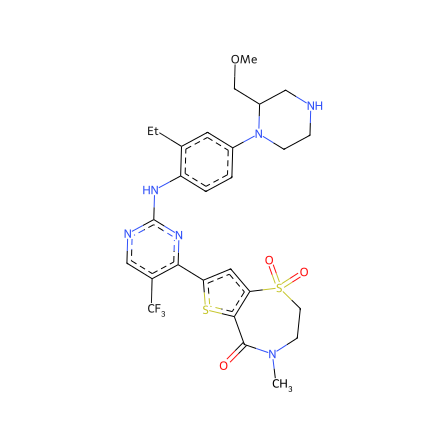 CCc1cc(N2CCNCC2COC)ccc1Nc1ncc(C(F)(F)F)c(-c2cc3c(s2)C(=O)N(C)CCS3(=O)=O)n1